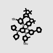 Cc1cc(C(C)(C)C)ccc1N1c2ccc(-c3ccccc3)cc2B2c3cc4c5cc3N(c3ccc(C(C)(C)C)cc3-c3cc6c(c(c3)C5(C)CC4(C)C)C(C)(C)CC6(C)C)c3cc(N(c4ccccc4)c4ccccc4)cc1c32